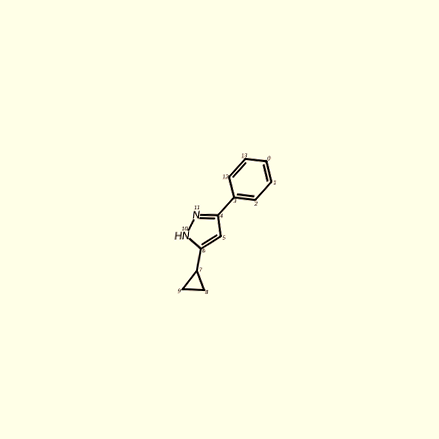 c1ccc(-c2cc(C3CC3)[nH]n2)cc1